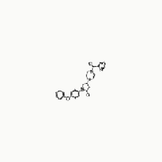 O=C(c1cscn1)N1CCN(C2CC(=O)N(c3ccc(Oc4ccccc4)cc3)C2)CC1